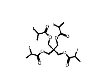 CC(I)C(=O)OCC(COC(=O)C(C)I)(COC(=O)C(C)I)COC(=O)C(C)I